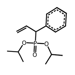 C=CC(c1ccccc1)P(=O)(OC(C)C)OC(C)C